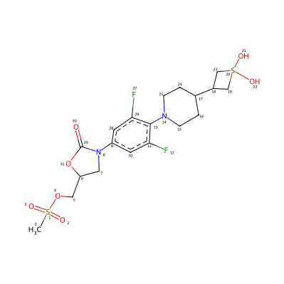 CS(=O)(=O)OCC1CN(c2cc(F)c(N3CCC(C4CS(O)(O)C4)CC3)c(F)c2)C(=O)O1